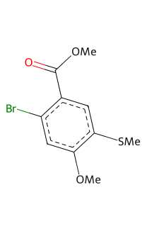 COC(=O)c1cc(SC)c(OC)cc1Br